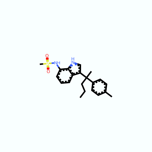 CCCC(C)(c1ccc(C)cc1)c1c[nH]c2c(NS(C)(=O)=O)cccc12